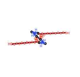 O=S(O)Oc1cc(Nc2nc(Nc3ccc(OCCOCCOCCOCCOCCOCCOCCOCCOCCOCCO)cc3)nc(N3CCCCC3)n2)ccc1/C=C/c1ccc(Nc2nc(Nc3ccc(OCCOCCOCCOCCOCCOCCOCCOCCOCCOCCO)cc3)nc(N3CCCCC3)n2)cc1OS(=O)O